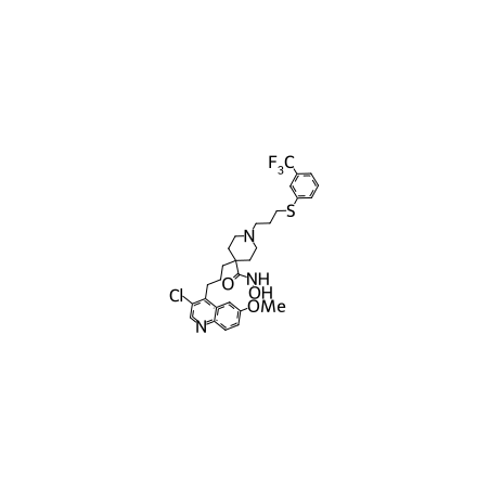 COc1ccc2ncc(Cl)c(CCCC3(C(=O)NO)CCN(CCCSc4cccc(C(F)(F)F)c4)CC3)c2c1